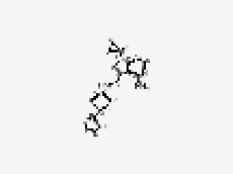 CC1(n2cc(CNc3ccc(-c4ccco4)cc3)c3c(N)ncnc32)CC1